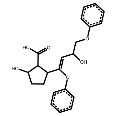 O=C(O)C1C(O)CCC1C(=CC(O)COc1ccccc1)Oc1ccccc1